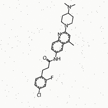 Cc1cc(N2CCC(N(C)C)CC2)nc2ccc(NC(=O)CCc3ccc(Cl)cc3F)cc12